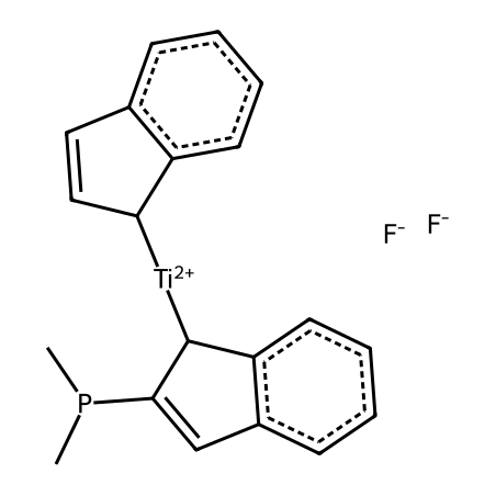 CP(C)C1=Cc2ccccc2[CH]1[Ti+2][CH]1C=Cc2ccccc21.[F-].[F-]